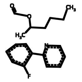 CCCCC(C)OC=O.Fc1ccccc1-c1ccccn1